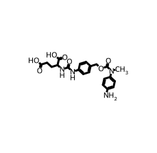 CN(C(=O)OCc1ccc(NC(=O)NC(CCC(=O)O)C(=O)O)cc1)c1ccc(N)cc1